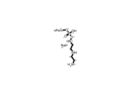 CCCCCOP(=O)(O)ONCCNCCN.[NaH]